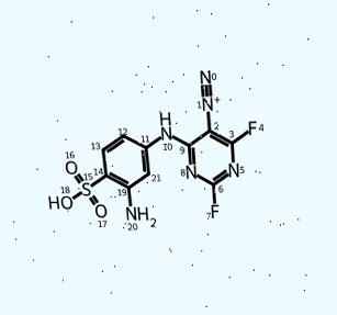 N#[N+]c1c(F)nc(F)nc1Nc1ccc(S(=O)(=O)O)c(N)c1